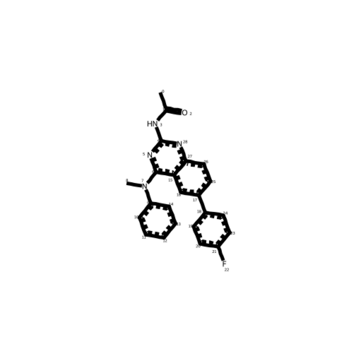 CC(=O)Nc1nc(N(C)c2ccccc2)c2cc(-c3ccc(F)cc3)ccc2n1